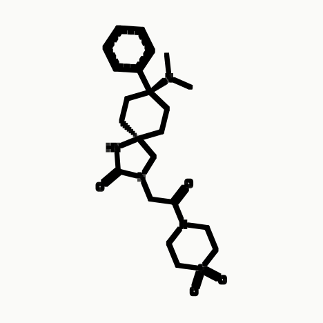 CN(C)[C@]1(c2ccccc2)CC[C@]2(CC1)CN(CC(=O)N1CCS(=O)(=O)CC1)C(=O)N2